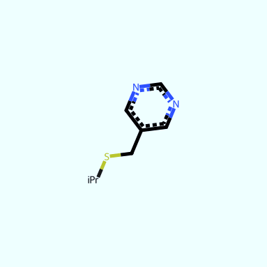 CC(C)SCc1cncnc1